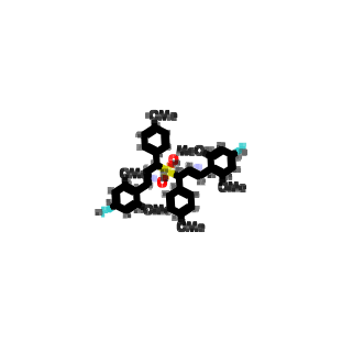 COc1ccc(C(/C=C/c2c(OC)cc(F)cc2OC)S(=O)(=O)C(/C=C/c2c(OC)cc(F)cc2OC)c2ccc(OC)cc2)cc1